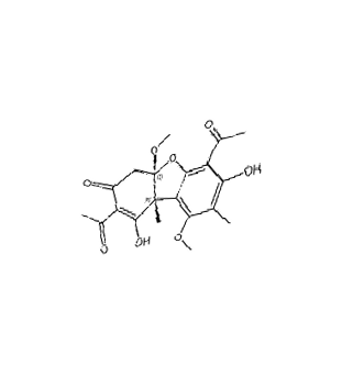 COc1c(C)c(O)c(C(C)=O)c2c1[C@]1(C)C(O)=C(C(C)=O)C(=O)C[C@]1(OC)O2